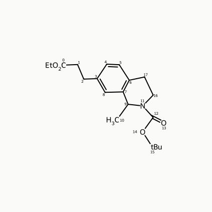 CCOC(=O)CCc1ccc2c(c1)C(C)N(C(=O)OC(C)(C)C)CC2